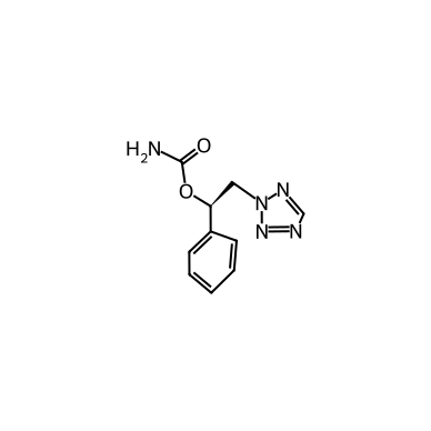 NC(=O)O[C@@H](Cn1ncnn1)c1ccccc1